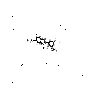 Cc1cc(C)c(O)c(-n2nc3ccc(C)cc3n2)c1